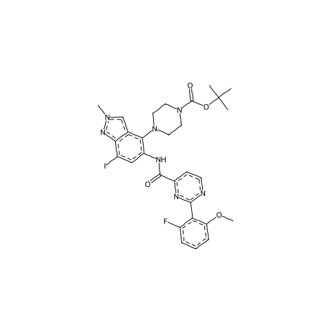 COc1cccc(F)c1-c1nccc(C(=O)Nc2cc(I)c3nn(C)cc3c2N2CCN(C(=O)OC(C)(C)C)CC2)n1